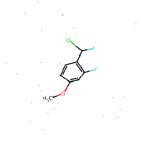 COc1ccc(C(F)Cl)c(F)c1